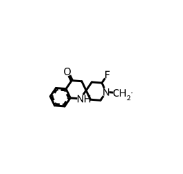 [CH2]N1CCC2(CC(=O)c3ccccc3N2)CC1F